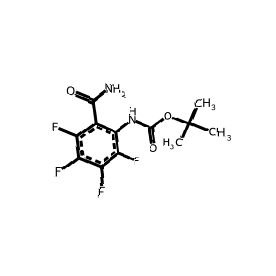 CC(C)(C)OC(=O)Nc1c(F)c(F)c(F)c(F)c1C(N)=O